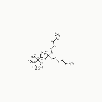 CCCCCCC(C)(CCCCCC)CNC(C)(CO)C(=O)O